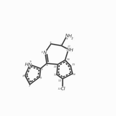 NC1CN=C(c2ccc[nH]2)c2cc(Cl)ccc2N1